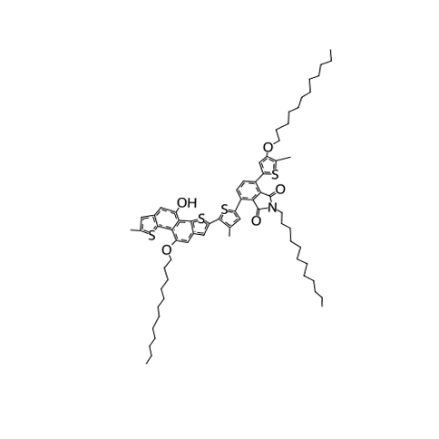 CCCCCCCCCCCCOc1cc(-c2ccc(-c3cc(C)c(-c4cc5cc(OCCCCCCCCCCCC)c6c7sc(C)cc7cc(O)c6c5s4)s3)c3c2C(=O)N(CCCCCCCCCCCC)C3=O)sc1C